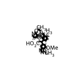 COc1cc(C(CC(=O)O)c2ccc(C)c(CN3CC(C)Oc4ncccc4S3(O)O)c2)cc2nnn(C)c12